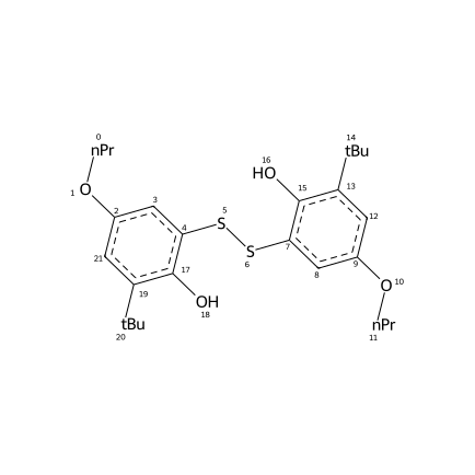 CCCOc1cc(SSc2cc(OCCC)cc(C(C)(C)C)c2O)c(O)c(C(C)(C)C)c1